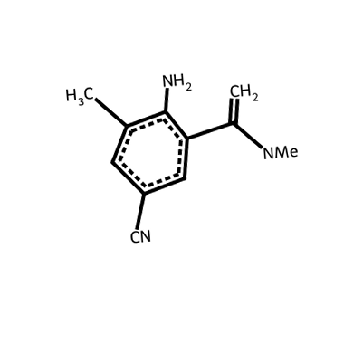 C=C(NC)c1cc(C#N)cc(C)c1N